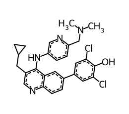 CN(C)Cc1ccc(Nc2c(CC3CC3)cnc3ccc(-c4cc(Cl)c(O)c(Cl)c4)cc23)cn1